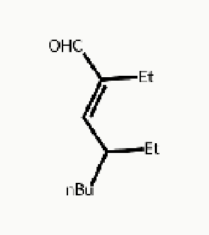 CCCCC(/C=C(/C=O)CC)CC